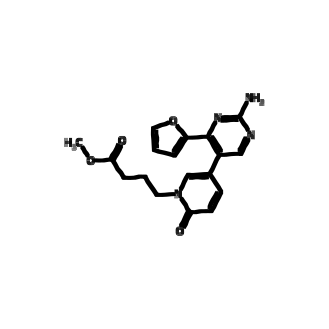 COC(=O)CCCn1cc(-c2cnc(N)nc2-c2ccco2)ccc1=O